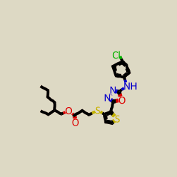 CCCCC(CC)COC(=O)CCSc1ccsc1-c1nnc(Nc2ccc(Cl)cc2)o1